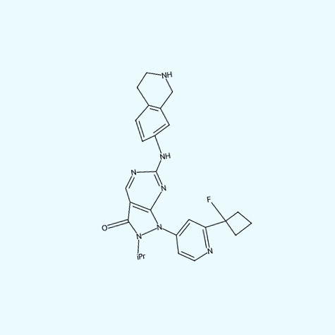 CC(C)n1c(=O)c2cnc(Nc3ccc4c(c3)CNCC4)nc2n1-c1ccnc(C2(F)CCC2)c1